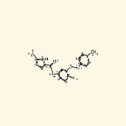 Cc1ccc(NSc2cc(NC(=O)c3cnc(C(F)(F)F)[nH]3)ccc2F)cc1